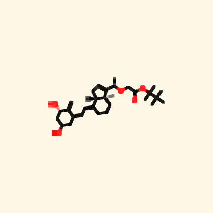 C=C1/C(=C\C=C2/CCC[C@]3(C)C(C(C)OCC(=O)OC(C)(C)C(C)(C)C)=CC[C@@H]23)C[C@@H](O)C[C@@H]1O